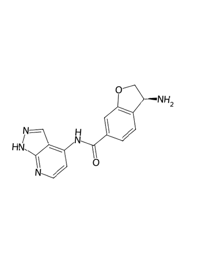 N[C@@H]1COc2cc(C(=O)Nc3ccnc4[nH]ncc34)ccc21